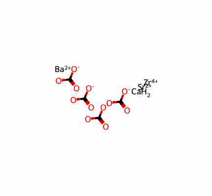 O=C([O-])[O-].O=C([O-])[O-].O=C([O-])[O-].O=C([O-])[O-].[Ba+2].[CaH2].[Sr+2].[Zr+4]